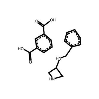 O=C(O)c1cccc(C(=O)O)c1.c1ccc(CNC2CNC2)cc1